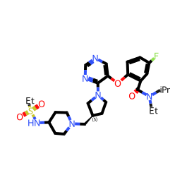 CCN(C(=O)c1cc(F)ccc1Oc1cncnc1N1CC[C@@H](CN2CCC(NS(=O)(=O)CC)CC2)C1)C(C)C